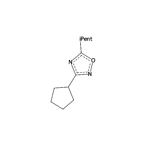 CCCC(C)c1nc(C2CCCC2)no1